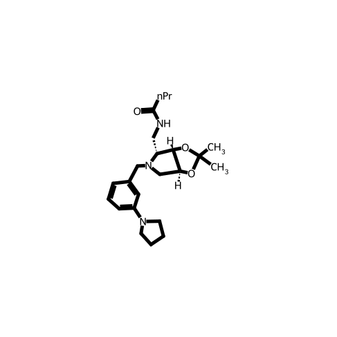 CCCC(=O)NC[C@@H]1[C@H]2OC(C)(C)O[C@H]2CN1Cc1cccc(N2CCCC2)c1